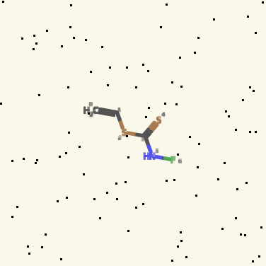 C=CSC(=S)NF